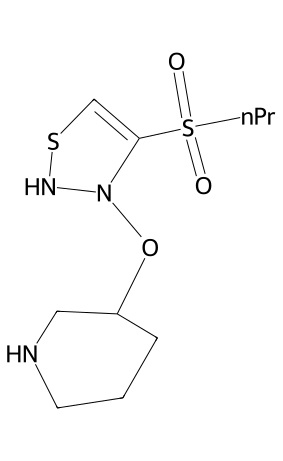 CCCS(=O)(=O)C1=CSNN1OC1CCCNC1